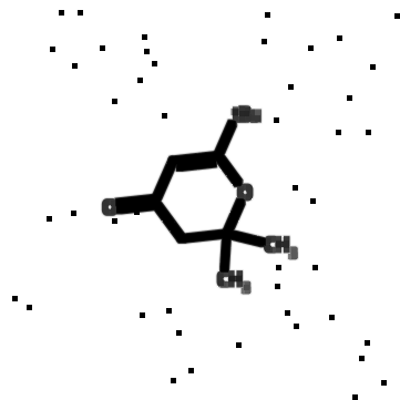 CC1(C)CC(=O)C=C(C(C)(C)C)O1